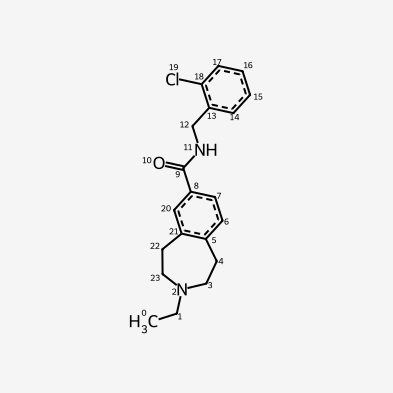 CCN1CCc2ccc(C(=O)NCc3ccccc3Cl)cc2CC1